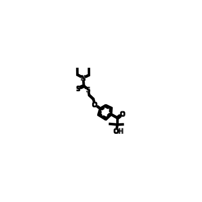 CCN(CC)C(=S)SCCOc1ccc(C(=O)C(C)(C)O)cc1